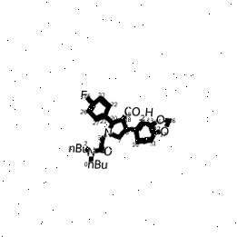 CCCCN(CCCC)C(=O)CN1CC(c2ccc3c(c2)OCO3)C(C(=O)O)C1c1ccc(F)cc1